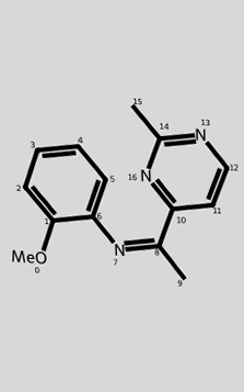 COc1ccccc1N=C(C)c1ccnc(C)n1